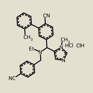 CCN(Cc1ccc(C#N)cc1)C(c1ccc(C#N)c(-c2ccccc2C)c1)c1cncn1C.Cl.Cl